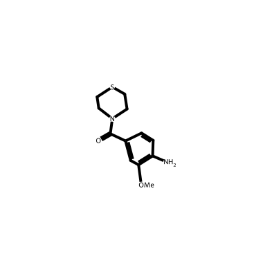 COc1cc(C(=O)N2CCSCC2)ccc1N